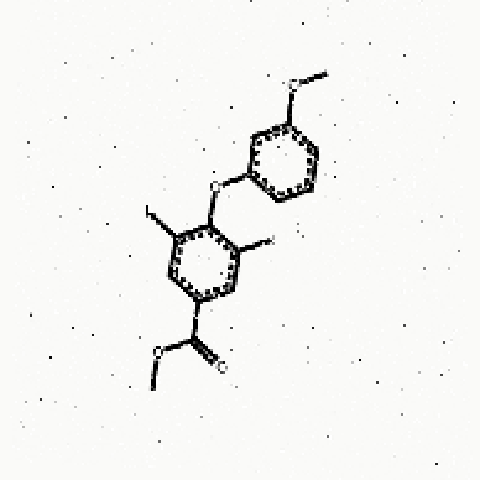 COC(=O)c1cc(I)c(Oc2cccc(OC)c2)c(I)c1